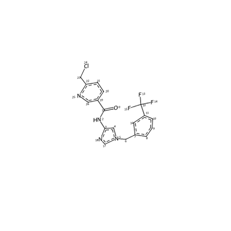 O=C(Nc1cn(Cc2cccc(C(F)(F)F)c2)cn1)c1ccc(CCl)nc1